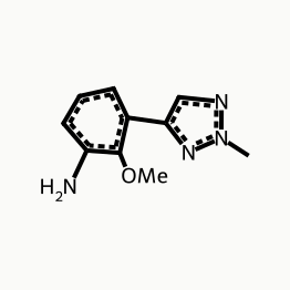 COc1c(N)cccc1-c1cnn(C)n1